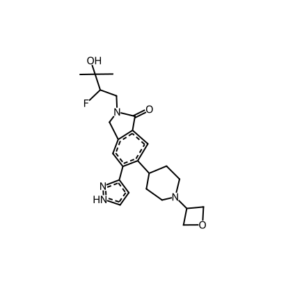 CC(C)(O)C(F)CN1Cc2cc(-c3cc[nH]n3)c(C3CCN(C4COC4)CC3)cc2C1=O